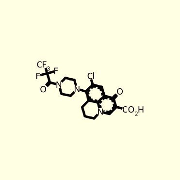 O=C(O)c1cn2c3c(c(N4CCN(C(=O)C(F)(F)C(F)(F)F)CC4)c(Cl)cc3c1=O)CCC2